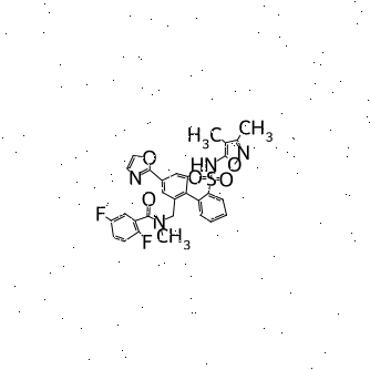 Cc1noc(NS(=O)(=O)c2ccccc2-c2ccc(-c3ncco3)cc2CN(C)C(=O)c2cc(F)ccc2F)c1C